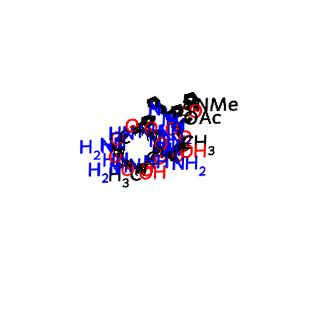 CNC(=O)c1ccccc1Sc1ccc2c(/C=C/c3ccccn3)nn(C(=O)N(CCOC(C)=O)CCC(=O)N[C@H](C(=O)N[C@@H](CCN)C(=O)N[C@H]3CCNC(=O)[C@H]([C@@H](C)O)NC(=O)[C@H](CCN)NC(=O)[C@H](CCN)NC(=O)CNC(=O)[C@@H](Cc4ccccc4)NC(=O)[C@H](CCN)NC3=O)[C@@H](C)O)c2c1